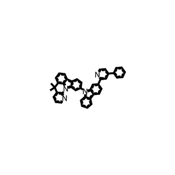 CC1(C)c2cccnc2-n2c3cc(-n4c5ccccc5c5ccc(-c6cc(-c7ccccc7)ccn6)cc54)ccc3c3cccc1c32